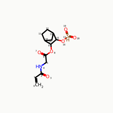 C=CC(=O)NCC(=O)OC1C2CCC(C2)C1O[SH](=O)=O